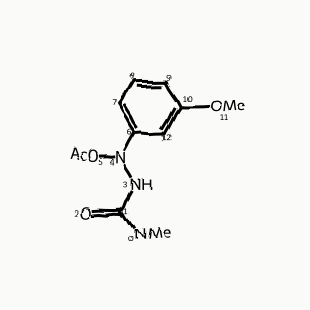 CNC(=O)NN(OC(C)=O)c1cccc(OC)c1